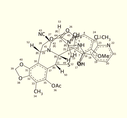 COc1c(C)cc2c(c1O)[C@H]1[C@@H]3[C@@H]4SC[C@H](NC(=O)c5cccnc5Cl)C(=O)OC[C@@H](c5c6c(c(C)c(OC(C)=O)c54)OCO6)N3[C@@H](C#N)[C@@H](C2)N1C